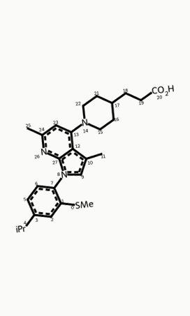 CSc1cc(C(C)C)ccc1-n1cc(C)c2c(N3CCC(CCC(=O)O)CC3)cc(C)nc21